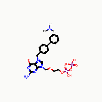 CCN(CC)CC.Nc1nc([O-])c2c(n1)n(COCCOP(=O)(O)OP(=O)(O)O)c[n+]2Cc1ccc(-c2ccccc2)cc1